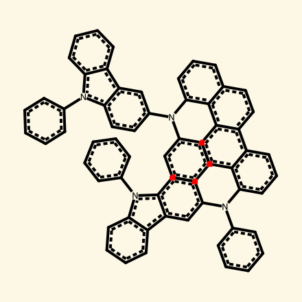 c1ccc(N(c2ccc3c(c2)c2ccccc2n3-c2ccccc2)c2cccc3c2ccc2c3ccc3cccc(N(c4ccccc4)c4ccc5c(c4)c4ccccc4n5-c4ccccc4)c32)cc1